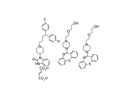 O=C(O)/C=C/C(=O)O.O=c1[nH]c2ccccc2n1C1CCN(CCCC(c2ccc(F)cc2)c2ccc(F)cc2)CC1.OCCOCCN1CCN(C2=Nc3ccccc3Sc3ccccc32)CC1.OCCOCCN1CCN(C2=Nc3ccccc3Sc3ccccc32)CC1